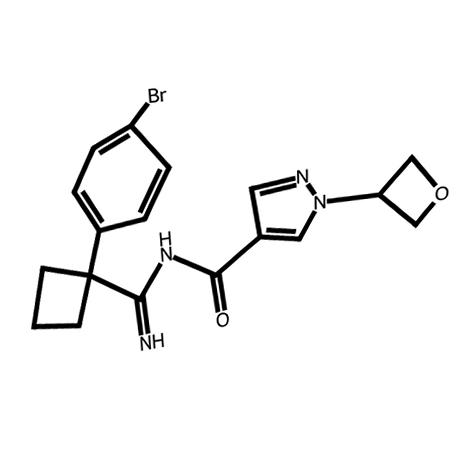 N=C(NC(=O)c1cnn(C2COC2)c1)C1(c2ccc(Br)cc2)CCC1